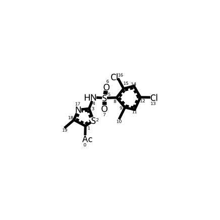 CC(=O)c1sc(NS(=O)(=O)c2c(C)cc(Cl)cc2Cl)nc1C